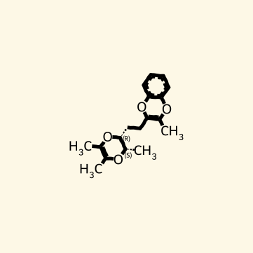 CC1=C(C)O[C@H](CCC2=C(C)Oc3ccccc3O2)[C@H](C)O1